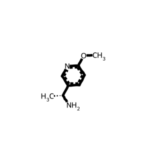 COc1ccc([C@@H](C)N)cn1